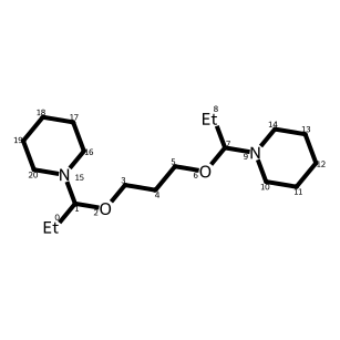 CCC(OCCCOC(CC)N1CCCCC1)N1CCCCC1